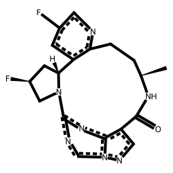 C[C@@H]1CCc2ncc(F)cc2[C@H]2C[C@H](F)CN2c2ncn3ncc(c3n2)C(=O)N1